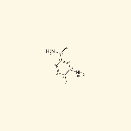 Cc1ccc([C@H](C)N)cc1N